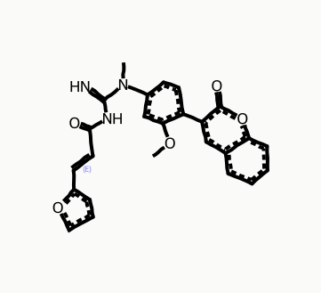 COc1cc(N(C)C(=N)NC(=O)/C=C/c2ccco2)ccc1-c1cc2ccccc2oc1=O